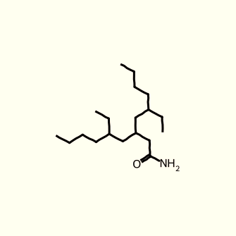 CCCCC(CC)CC(CC(N)=O)CC(CC)CCCC